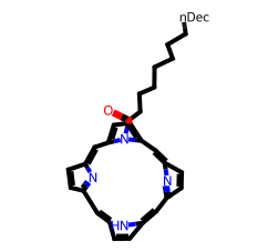 CCCCCCCCCCCCCCCCCC(=O)n1c2ccc1cc1nc(cc3ccc(cc4nc(c2)C=C4)[nH]3)C=C1